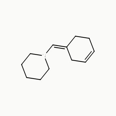 C1=CC/C(=C\N2CCCCC2)CC1